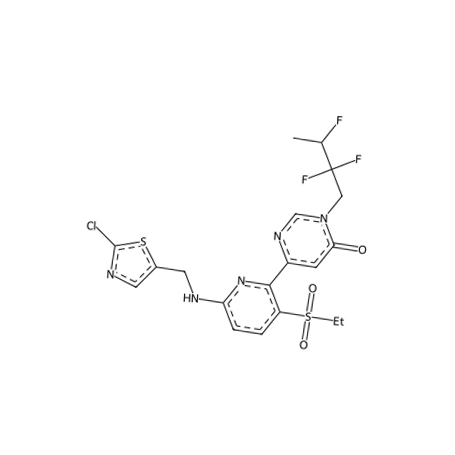 CCS(=O)(=O)c1ccc(NCc2cnc(Cl)s2)nc1-c1cc(=O)n(CC(F)(F)C(C)F)cn1